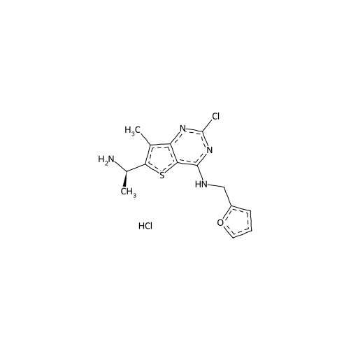 Cc1c([C@@H](C)N)sc2c(NCc3ccco3)nc(Cl)nc12.Cl